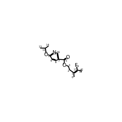 CC(CCOC(=O)c1ccc(OC(C)C)nc1)=C(F)F